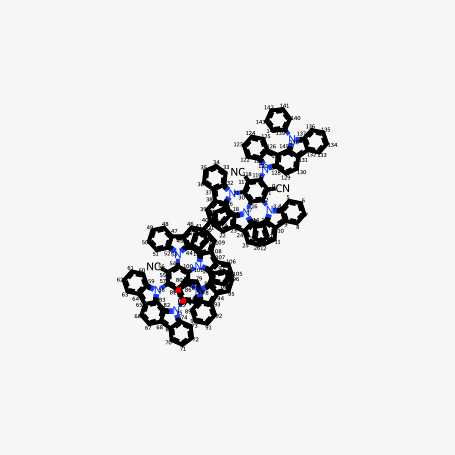 N#Cc1c(-n2c3ccccc3c3ccccc32)c(-n2c3ccccc3c3ccccc32)c(-n2c3ccccc3c3cc(-c4ccc5c(c4)c4ccccc4n5-c4c(C#N)c(-n5c6ccccc6c6ccc7c8ccccc8n(-c8ccccc8)c7c65)c(C#N)c(-n5c6ccccc6c6ccccc65)c4-n4c5ccccc5c5ccccc54)ccc32)c(C#N)c1-n1c2ccccc2c2c1ccc1c3ccccc3n(-c3ccccc3)c12